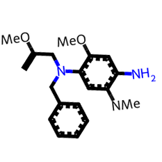 C=C(CN(Cc1ccccc1)c1cc(NC)c(N)cc1OC)OC